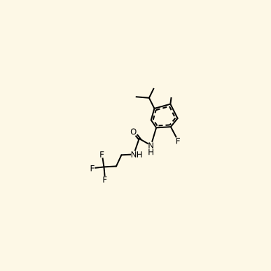 Cc1cc(F)c(NC(=O)NCCC(F)(F)F)cc1C(C)C